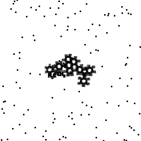 CC1(C)c2ccccc2-c2ccc(N(c3ccccc3)c3ccccc3-c3ccccc3-c3ccc4c(c3)c3ccccc3n4-c3ccccc3)cc21